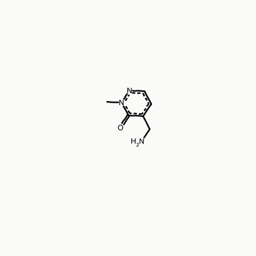 Cn1nccc(CN)c1=O